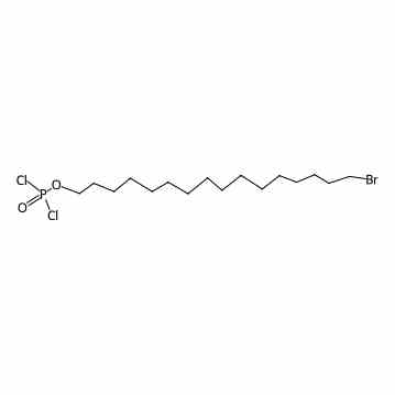 O=P(Cl)(Cl)OCCCCCCCCCCCCCCCCBr